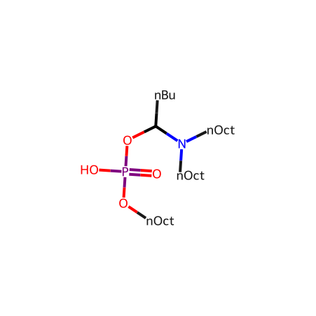 CCCCCCCCOP(=O)(O)OC(CCCC)N(CCCCCCCC)CCCCCCCC